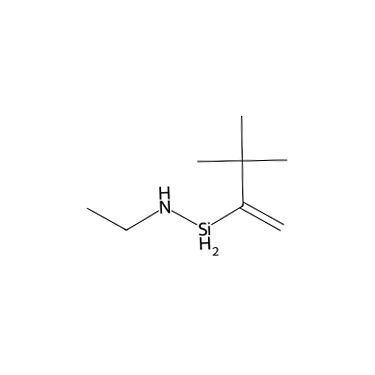 C=C([SiH2]NCC)C(C)(C)C